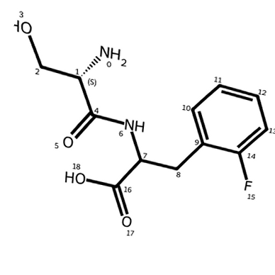 N[C@@H](CO)C(=O)NC(Cc1ccccc1F)C(=O)O